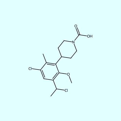 COc1c(C(C)Cl)cc(Cl)c(C)c1C1CCN(C(=O)O)CC1